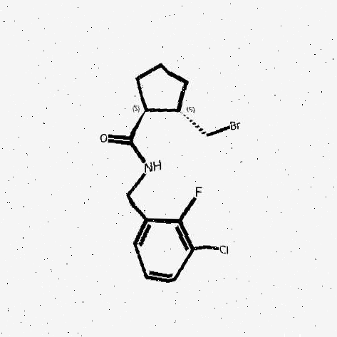 O=C(NCc1cccc(Cl)c1F)[C@H]1CCC[C@@H]1CBr